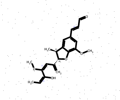 C=C(/C=C(OC)\C(O)=C/C)[C@H]1Oc2c(OC)cc(/C=C/C=O)cc2[C@@H]1C